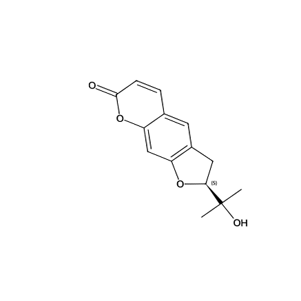 CC(C)(O)[C@@H]1Cc2cc3ccc(=O)oc3cc2O1